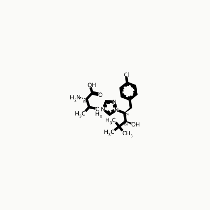 CC(C)(C)[C@H](O)[C@H](Cc1ccc(Cl)cc1)n1cncn1.CC(C)[C@H](N)C(=O)O